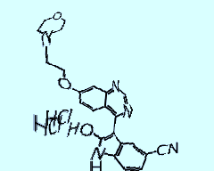 Cl.Cl.N#Cc1ccc2[nH]c(O)c(-c3ncnc4cc(OCCN5CCOCC5)ccc34)c2c1